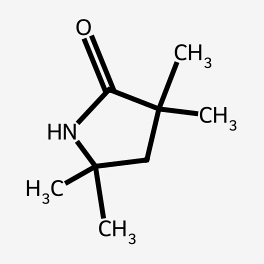 CC1(C)CC(C)(C)C(=O)N1